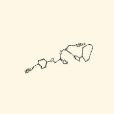 CCC(C)c1ccc(OCC(=O)OC(CC(C)(C)C)OC2CCCCC2)cc1